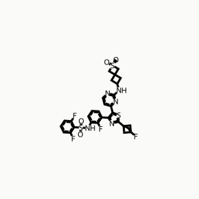 O=S1(=O)CC2(CC(Nc3nccc(-c4sc(C56CC(F)(C5)C6)nc4-c4cccc(NS(=O)(=O)c5c(F)cccc5F)c4F)n3)C2)C1